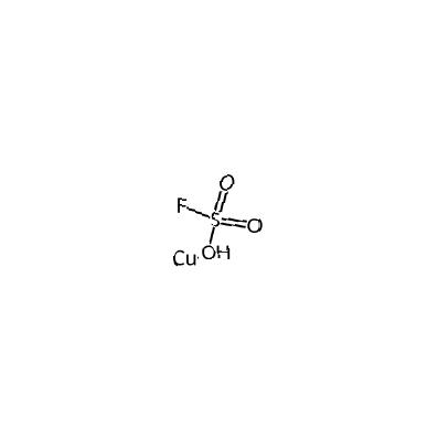 O=S(=O)(O)F.[Cu]